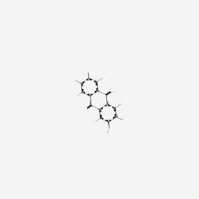 O=C1c2c(F)c(F)c(F)c(F)c2C(=O)c2c(F)c(F)c(F)c(F)c21